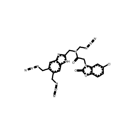 [N-]=[N+]=NCc1cc2nc(CN(CN=[N+]=[N-])C(=O)Cn3c(=O)oc4ccc(Cl)cc43)[nH]c2cc1CN=[N+]=[N-]